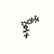 CC1C=C(C2CCC3(CC2)CN(C(=O)C2(F)CC2)C3)n2nc(NC(=O)[C@H]3CC3(F)F)nc2C1